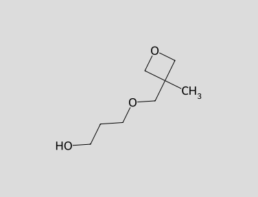 CC1(COCCCO)COC1